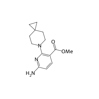 COC(=O)c1ccc(N)nc1N1CCC2(CC1)CC2